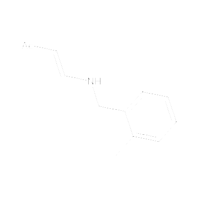 CC(=O)/C=C/NCc1ccccc1C